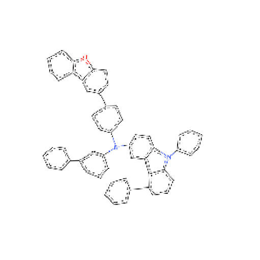 c1ccc(-c2cccc(N(c3ccc(-c4ccc5oc6ccccc6c5c4)cc3)c3ccc4c(c3)c3c(-c5ccccc5)cccc3n4-c3ccccc3)c2)cc1